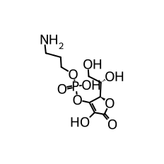 NCCCOP(=O)(O)OC1=C(O)C(=O)O[C@@H]1[C@@H](O)CO